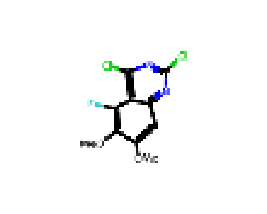 COc1cc2nc(Cl)nc(Cl)c2c(F)c1OC